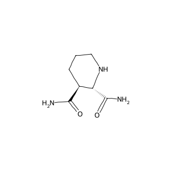 NC(=O)[C@H]1CCCN[C@@H]1C(N)=O